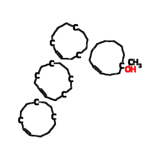 C1=C\CCCCCCCCCC/1.C1=C\CCCCCCCCCC/1.C1=C\CCCCCCCCCC/1.C1=C\CCCCCCCCCC/1.CO